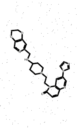 O=c1ccc2ncc(-n3ccnc3)cc2n1CCN1CCC(NCc2cc3c(cn2)OCCO3)CC1